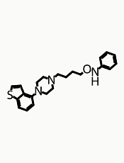 c1ccc(NOCCCCN2CCN(c3cccc4sccc34)CC2)cc1